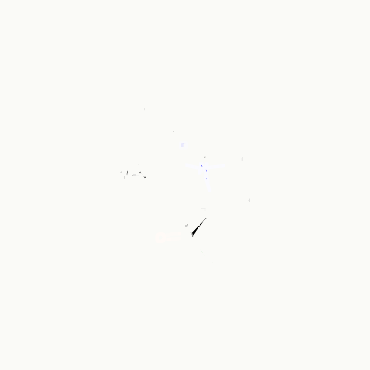 C/C=C(\NC)N1CC[C@H]1C(=O)Cl